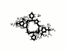 CC(C)(C)c1cc(Nc2c3nc(c(-c4ccccc4)c4ccc([nH]4)c(Nc4cc(C(C)(C)C)cc(C(C)(C)C)c4)c4nc(c(-c5ccccc5)c5ccc2[nH]5)C=C4)C=C3)cc(C(C)(C)C)c1.[Zn]